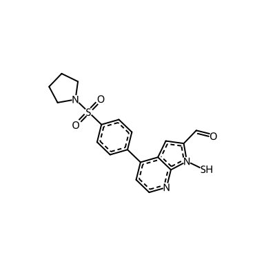 O=Cc1cc2c(-c3ccc(S(=O)(=O)N4CCCC4)cc3)ccnc2n1S